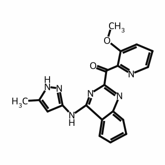 COc1cccnc1C(=O)c1nc(Nc2cc(C)[nH]n2)c2ccccc2n1